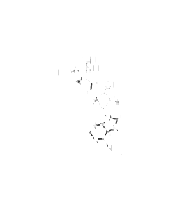 Nc1ncnc2c1ncn2[C@@H]1O[C@H](/C=C/P(=O)(NO)NO)[C@@H](O)[C@H]1F